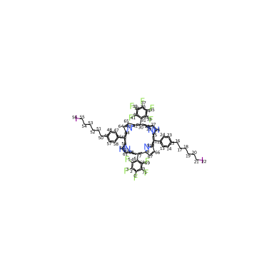 Fc1c(F)c(F)c(-c2c3nc(c(-c4ccc(CCCCCCI)cc4)c4ccc([nH]4)c(-c4c(F)c(F)c(F)c(F)c4F)c4nc(c(-c5ccc(CCCCCCI)cc5)c5ccc2[nH]5)C=C4)C=C3)c(F)c1F